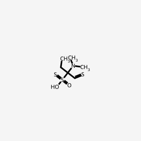 CCC(C=S)(N(C)C)S(=O)(O)=S